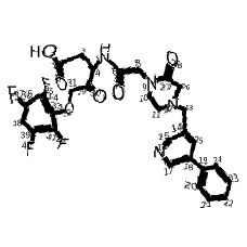 O=C(O)CC(NC(=O)CN1CCN(Cc2cncc(-c3ccccc3)c2)CC1=O)C(=O)COc1c(F)c(F)cc(F)c1F